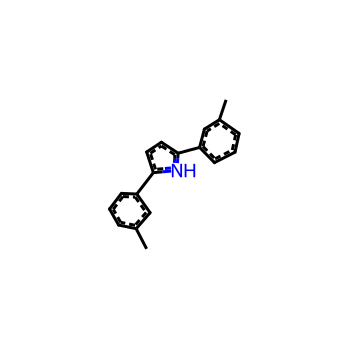 Cc1cccc(-c2ccc(-c3cccc(C)c3)[nH]2)c1